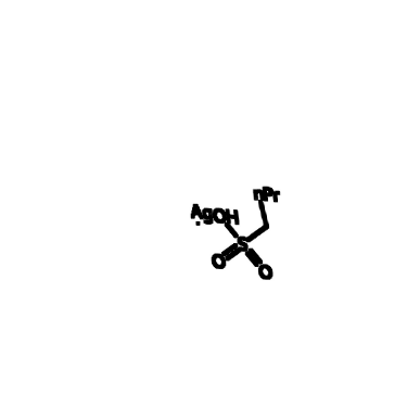 CCCCS(=O)(=O)O.[Ag]